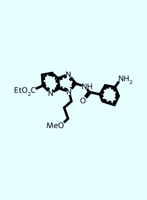 CCOC(=O)c1ccc2nc(NC(=O)c3cccc(N)c3)n(CCCOC)c2n1